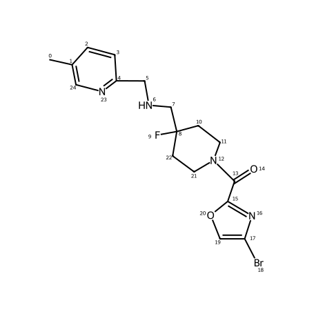 Cc1ccc(CNCC2(F)CCN(C(=O)c3nc(Br)co3)CC2)nc1